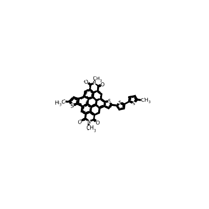 Cc1ccc(-c2ccc(-c3cc4c(s3)=C3C=C5C(=O)N(C)C(=O)c6cc7c8cc(C)sc8c8cc9c%10c%11c8c7c(c65)C3C=%11C=4CC=%10C(=O)N(C)C9=O)s2)s1